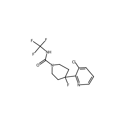 O=C(NC(F)(F)F)N1CCC(F)(c2ncccc2Cl)CC1